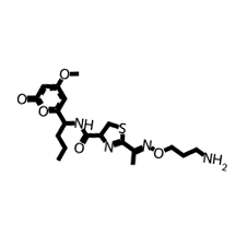 CCCC(NC(=O)C1CSC(/C(C)=N/OCCCN)=N1)c1cc(OC)cc(=O)o1